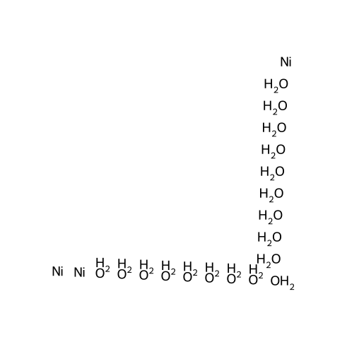 O.O.O.O.O.O.O.O.O.O.O.O.O.O.O.O.O.O.[Ni].[Ni].[Ni]